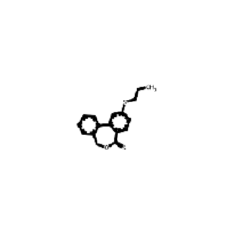 CCCSc1ccc2c(c1)-c1ccccc1COC2=S